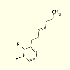 CCCC=CCCc1cccc(F)c1F